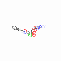 CCCCCCCCCCCCCC(=O)Nc1ccc(-c2cc(=O)oc3cc(O[C@@H](C)C(=O)N4CCNCC4)ccc23)c(Cl)c1